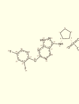 CS(=O)(=O)[C@H]1CCC[C@H]1Nc1n[nH]c2nc(Oc3ccc(F)cc3F)ncc12